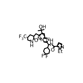 CCn1nccc1C(=O)NC(c1cn2nc(CC3C[C@@H](C(F)(F)F)CNC3=O)c(C(C)(C)O)cc2n1)C1CCC(F)(F)CC1